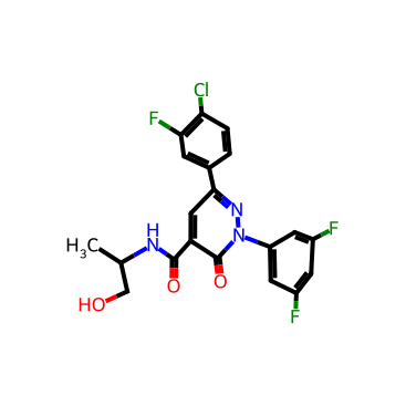 CC(CO)NC(=O)c1cc(-c2ccc(Cl)c(F)c2)nn(-c2cc(F)cc(F)c2)c1=O